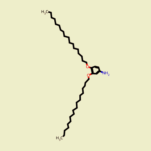 CCCCCCCCCCCCCCCCCCOc1ccc(N)cc1OCCCCCCCCCCCCCCCCCC